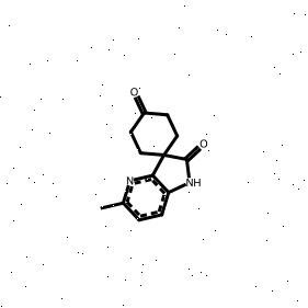 Cc1ccc2c(n1)C1(CCC(=O)CC1)C(=O)N2